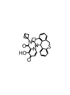 O=C1c2c(O)c(=O)ccn2N([C@@H]2c3ccccc3SCc3cccc(Cl)c32)CN1C12CC(C1)C2